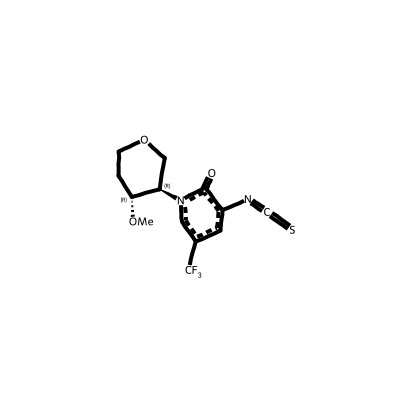 CO[C@@H]1CCOC[C@H]1n1cc(C(F)(F)F)cc(N=C=S)c1=O